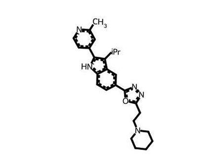 Cc1cc(-c2[nH]c3ccc(-c4nnc(CCN5CCCCC5)o4)cc3c2C(C)C)ccn1